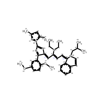 CCN(CC)C(/C=C1\N=C(n2nc(C)cc2C)N=C1c1cc(OC)ccc1OC)=C\C=C1/c2ccccc2C=CN1CC(C)C